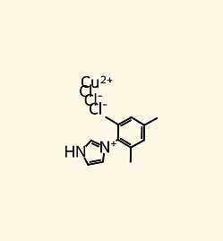 Cc1cc(C)c(-[n+]2cc[nH]c2)c(C)c1.[Cl-].[Cl-].[Cl-].[Cu+2]